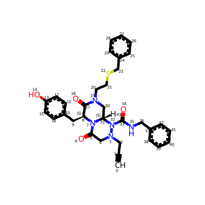 C#CCN1CC(=O)N2[C@@H](Cc3ccc(O)cc3)C(=O)N(CCSCc3ccccc3)C[C@@H]2N1C(=O)NCc1ccccc1